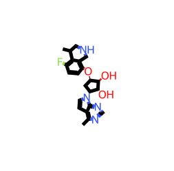 Cc1ncnc2c1ccn2[C@@H]1C[C@H](Oc2ccc(F)c3c2CNCC3C)[C@@H](O)[C@H]1O